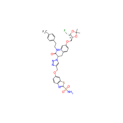 CC1(C)O[C@@H](CF)[C@H](COc2ccc(CC(C(=O)NCCc3ccc(C(F)(F)F)cc3)n3cc(COc4ccc5nc(S(N)(=O)=O)sc5c4)nn3)cc2)O1